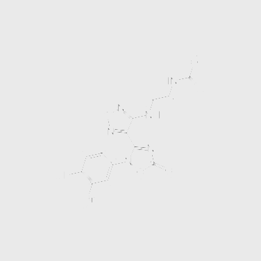 O=C(O)NCCNc1nonc1-c1nc(=O)on1-c1ccc(F)c(Br)c1